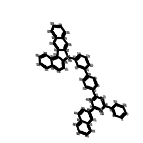 c1ccc(-c2nc(-c3ccc(-c4cccc(-n5c6cc7ccccc7cc6c6c7ccccc7ccc65)c4)cc3)nc(-c3ccc4ccccc4c3)n2)cc1